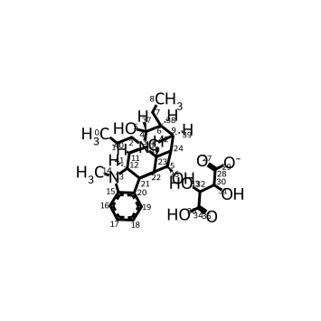 CCC[N+]12[C@H](O)[C@@H](CC)[C@@H]3C[C@H]1[C@@H]1N(C)c4ccccc4C14C[C@H]2C3[C@H]4O.O=C([O-])C(O)C(O)C(=O)O